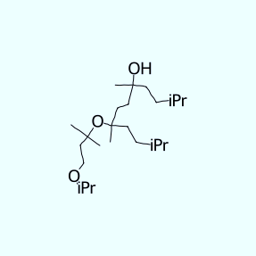 CC(C)CCC(C)(O)CCC(C)(CCC(C)C)OC(C)(C)CCOC(C)C